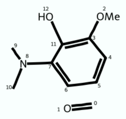 C=O.COc1cccc(N(C)C)c1O